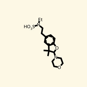 CCN(CCc1ccc2c(c1)C(C)(C)C(N1CCOCC1)O2)S(=O)(=O)O